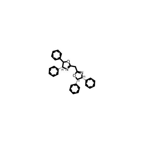 c1ccc(C2OC(CC3=N[C@H](c4ccccc4)[C@H](c4ccccc4)O3)=N[C@@H]2c2ccccc2)cc1